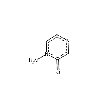 Nn1ccncc1=O